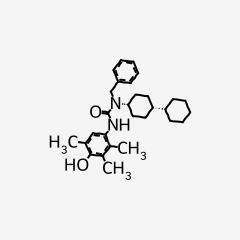 Cc1cc(NC(=O)N(Cc2ccccc2)[C@H]2CC[C@@H](C3CCCCC3)CC2)c(C)c(C)c1O